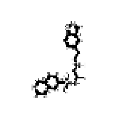 C[C@H](CNCCc1ccc2sncc2c1)NS(=O)(=O)c1ccc2cnccc2c1